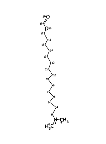 CN(C)CCCCCCCCCCCCCCCOC=O